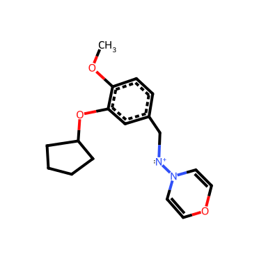 COc1ccc(C[N+]N2C=COC=C2)cc1OC1CCCC1